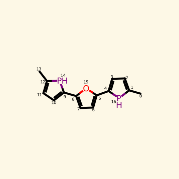 Cc1ccc(-c2ccc(-c3ccc(C)[pH]3)o2)[pH]1